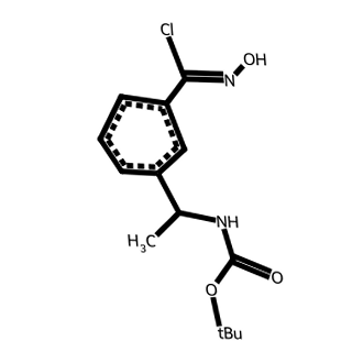 CC(NC(=O)OC(C)(C)C)c1cccc(C(Cl)=NO)c1